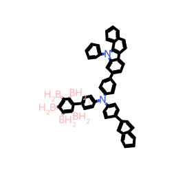 Bc1c(B)c(B)c(-c2ccc(N(c3ccc(-c4ccc5ccccc5c4)cc3)c3ccc(-c4ccc5c6ccc7ccccc7c6n(-c6ccccc6)c5c4)cc3)cc2)c(B)c1B